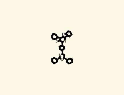 c1ccc(-c2cc(-c3ccc(-c4nc5c6ccccc6oc5c5c4sc4ccccc45)cc3)nc(-c3ccccc3)n2)cc1